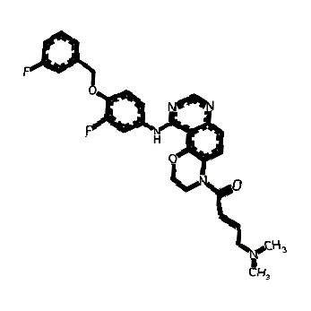 CN(C)C/C=C/C(=O)N1CCOc2c1ccc1ncnc(Nc3ccc(OCc4cccc(F)c4)c(F)c3)c21